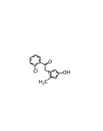 Cc1cc(O)cn1CC(=O)c1ccccc1Cl